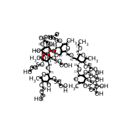 CCOC[C@@H]1OC(C)[C@@H](OSOOO)[C@H](COC[C@@H]2OC(C)[C@@H](OSOOO)[C@H](OSOOO)C2OSOOO)C1COC[C@@H]1OC(C)[C@@H](OO[SH](=O)=O)[C@H](COC[C@@H]2OC(C)[C@@H](OSOOO)[C@H](COC[C@@H]3OC(C)[C@H](OSOOO)[C@H](O)C3OSOOO)C2OSOOO)C1COC[C@@H]1OC(C)[C@@H](O)[C@@H](OS(=O)(=O)O)C1O